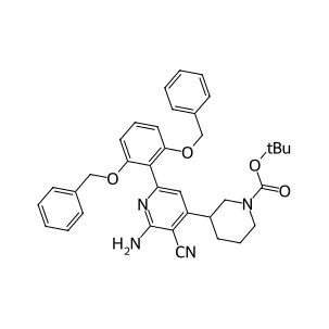 CC(C)(C)OC(=O)N1CCCC(c2cc(-c3c(OCc4ccccc4)cccc3OCc3ccccc3)nc(N)c2C#N)C1